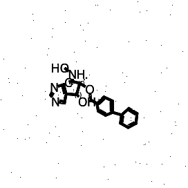 C[C@@](OCc1ccc(-c2ccccc2)cc1)(C(=O)NO)[C@@H](O)c1cncnc1